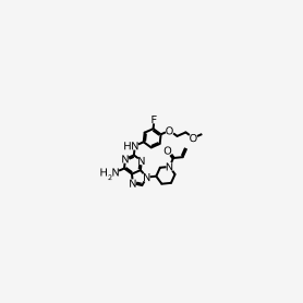 C=CC(=O)N1CCCC(n2cnc3c(N)nc(Nc4ccc(OCCOC)c(F)c4)nc32)C1